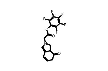 O=C(CN1C=C2C=CCC(=O)C2C1)Oc1c(F)c(F)c(F)c(F)c1F